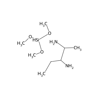 CCC(N)C(C)N.CO[SiH](OC)OC